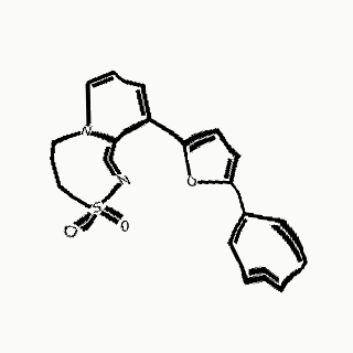 O=S1(=O)CCN2C=CC=C(c3ccc(-c4ccccc4)o3)C2=N1